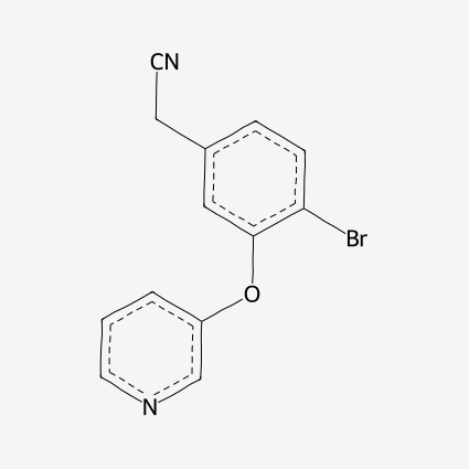 N#CCc1ccc(Br)c(Oc2cccnc2)c1